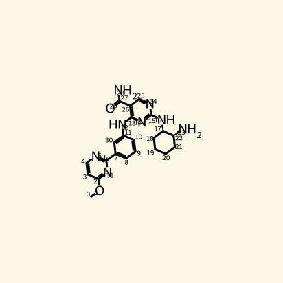 COc1ccnc(-c2cccc(Nc3nc(N[C@@H]4CCCC[C@@H]4N)ncc3C(N)=O)c2)n1